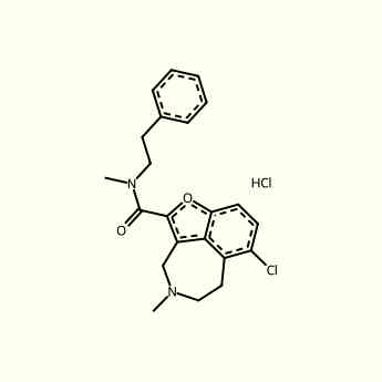 CN1CCc2c(Cl)ccc3oc(C(=O)N(C)CCc4ccccc4)c(c23)C1.Cl